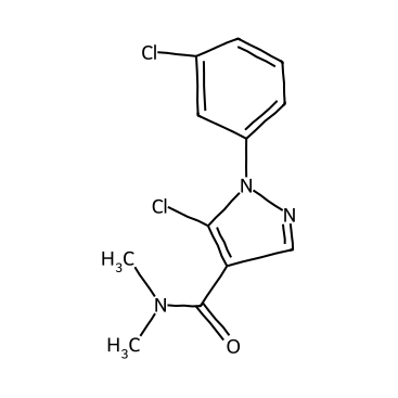 CN(C)C(=O)c1cnn(-c2cccc(Cl)c2)c1Cl